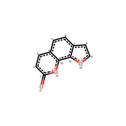 O=c1ccc2ccc3ccoc3c2o1